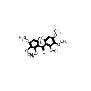 COc1cc(C)c(C(=O)c2c(C)cc(OC)c(OC)c2OC)c(OC)c1OC